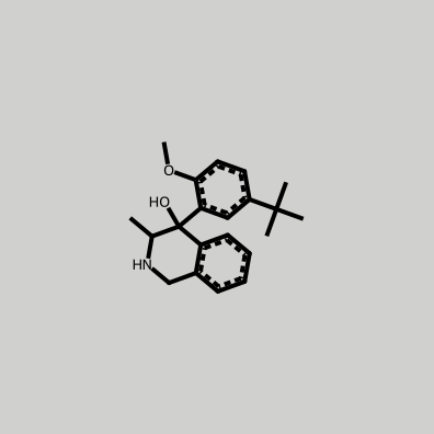 COc1ccc(C(C)(C)C)cc1C1(O)c2ccccc2CNC1C